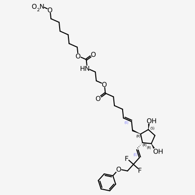 O=C(CCC/C=C/C[C@@H]1[C@@H](/C=C/C(F)(F)COc2ccccc2)[C@H](O)C[C@@H]1O)OCCNC(=O)OCCCCCCO[N+](=O)[O-]